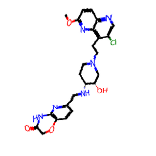 COc1ccc2ncc(Cl)c(CCN3CC[C@@H](NCc4ccc5c(n4)NC(=O)CO5)[C@@H](O)C3)c2n1